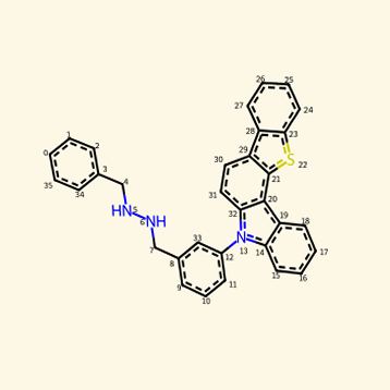 c1ccc(CNNCc2cccc(-n3c4ccccc4c4c5sc6ccccc6c5ccc43)c2)cc1